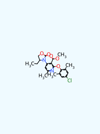 CCC1COC(=O)N1c1cc(C)nc(Oc2c(C)cc(Cl)cc2C)c1C(=O)OC